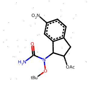 CC(=O)OC1Cc2ccc([N+](=O)[O-])cc2C1N(OC(C)(C)C)C(N)=O